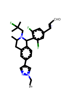 CC(C)Cn1cc(-c2ccc3c(c2)CC(C)N(CC(C)(C)F)C3c2c(F)cc(/C=C/C=O)cc2F)cn1